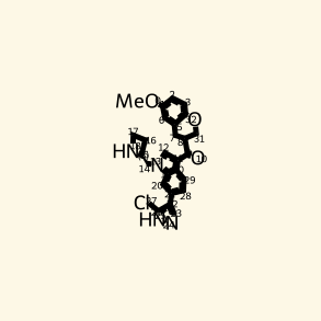 COc1ccc2c(c1)CC(C(=O)c1cn(C[C@@H]3CCN3)c3cc(-c4cn[nH]c4Cl)ccc13)CO2